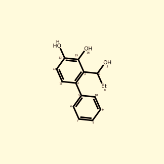 CCC(O)c1c(-c2ccccc2)ccc(O)c1O